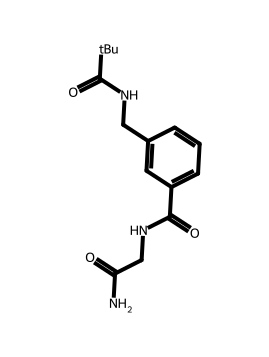 CC(C)(C)C(=O)NCc1cccc(C(=O)NCC(N)=O)c1